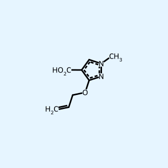 C=CCOc1nn(C)cc1C(=O)O